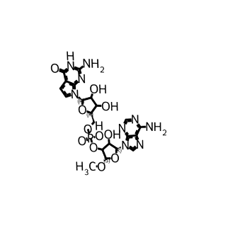 CO[C@H]1O[C@@H](n2cnc3c(N)ncnc32)C(O)C1OP(=O)(O)OC[C@H]1O[C@@H](n2ccc3c(=O)[nH]c(N)nc32)C(O)C1O